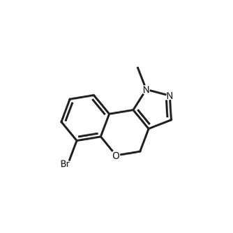 Cn1ncc2c1-c1cccc(Br)c1OC2